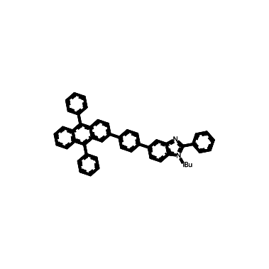 CCC(C)n1c(-c2ccccc2)nc2cc(-c3ccc(-c4ccc5c(-c6ccccc6)c6ccccc6c(-c6ccccc6)c5c4)cc3)ccc21